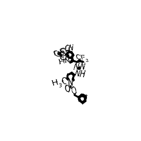 C[C@H]1CC[C@H](Nc2ncc(C(F)(F)F)c(-c3c[nH]c4c(P(C)(C)=O)c(C#N)ccc34)n2)CN1C(=O)OCc1ccccc1